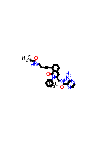 C=CC(=O)NCCC#Cc1cccc2cc([C@H](C)NC(=O)c3nccnc3N)n(-c3ccccc3)c(=O)c12